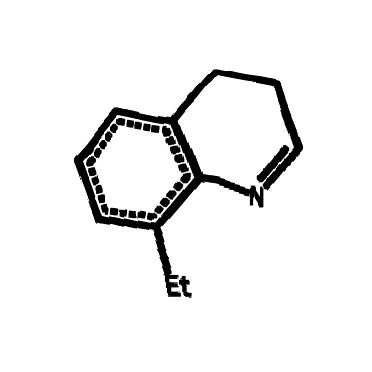 CCc1cccc2c1N=CCC2